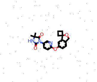 CC1(C)NC(=O)N(c2ccc(Oc3ccc4c(c3)C3(CCC3)OC4)nc2)C1=O